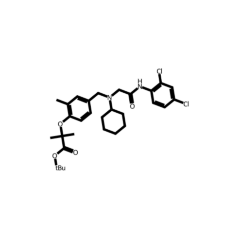 Cc1cc(CN(CC(=O)Nc2ccc(Cl)cc2Cl)C2CCCCC2)ccc1OC(C)(C)C(=O)OC(C)(C)C